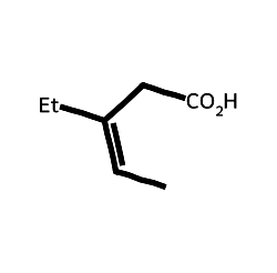 CC=C(CC)CC(=O)O